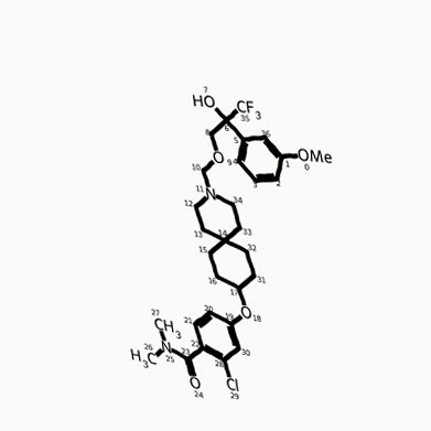 COc1cccc(C(O)(COCN2CCC3(CCC(Oc4ccc(C(=O)N(C)C)c(Cl)c4)CC3)CC2)C(F)(F)F)c1